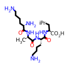 CC(C)C[C@H](NC(=O)[C@H](CCCCN)NC(=O)[C@H](C)NC(=O)[C@@H](N)CCCCN)C(=O)O